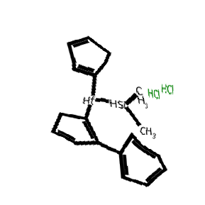 C[SiH](C)[Hf]([C]1=CC=CC1)[C]1=C(c2ccccc2)C=CC1.Cl.Cl